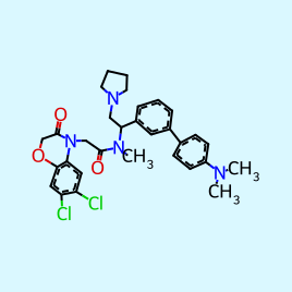 CN(C)c1ccc(-c2cccc(C(CN3CCCC3)N(C)C(=O)CN3C(=O)COc4cc(Cl)c(Cl)cc43)c2)cc1